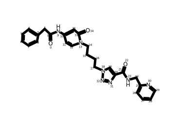 O=C(Cc1ccccc1)Nc1ccn(CCCCn2cc(C(=O)NCc3ccccn3)nn2)c(=O)c1